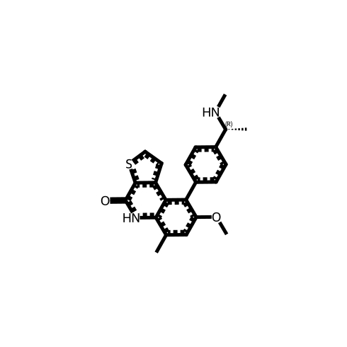 CN[C@H](C)c1ccc(-c2c(OC)cc(C)c3[nH]c(=O)c4sccc4c23)cc1